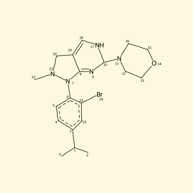 CC(C)c1ccc(N2C3=NC(N4CCOCC4)NC=C3CN2C)c(Br)c1